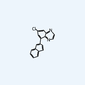 Clc1cc(-c2ccc3ccccc3c2)c2nccnc2c1